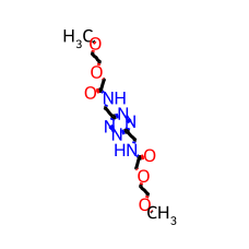 COCCOCC(=O)NCc1nnc(CNC(=O)COCCOC)nn1